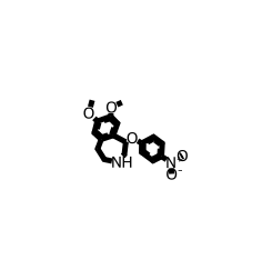 COc1cc2c(cc1OC)C(Oc1ccc([N+](=O)[O-])cc1)CNCC2